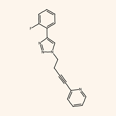 Fc1ccccc1-c1cn(CCC#Cc2ccccn2)nn1